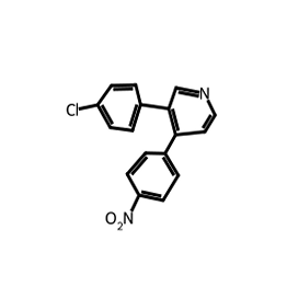 O=[N+]([O-])c1ccc(-c2ccncc2-c2ccc(Cl)cc2)cc1